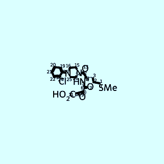 CSCCC[C@H](NC(=O)[C@H]1O[C@@H]1C(=O)O)C(=O)N1CCN(c2ccccc2Cl)CC1